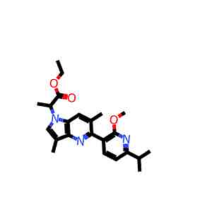 CCOC(=O)C(C)n1cc(C)c2nc(-c3ccc(C(C)C)nc3OC)c(C)cc21